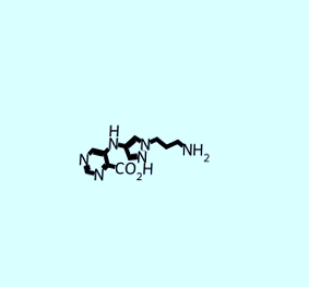 NCCCn1cc(Nc2cncnc2C(=O)O)cn1